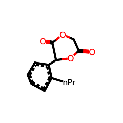 CCCc1ccccc1C1OC(=O)COC1=O